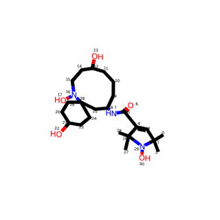 CC1(C)C=C(C(=O)NC2CCCC(O)CCN(O)C3(CCC(O)CC3)C2)C(C)(C)N1O